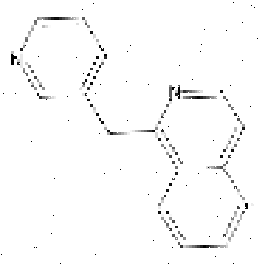 [c]1cccc2c(Cc3cccnc3)nccc12